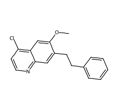 COc1cc2c(Cl)ccnc2cc1CCc1ccccc1